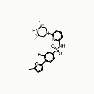 Cc1ccc(-c2ccc(S(=O)(=O)Nc3cccc(N4C[C@@H](C)N[C@@H](C)C4)n3)cc2F)o1